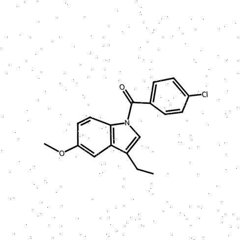 CCc1cn(C(=O)c2ccc(Cl)cc2)c2ccc(OC)cc12